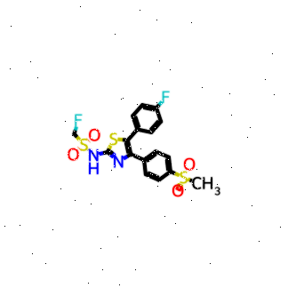 CS(=O)(=O)c1ccc(-c2nc(NS(=O)(=O)CF)sc2-c2ccc(F)cc2)cc1